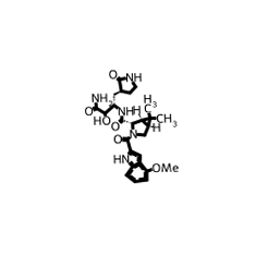 COc1cccc2[nH]c(C(=O)N3C[C@H]4[C@@H]([C@H]3C(=O)N[C@@H](C[C@@H]3CCNC3=O)C(O)C(N)=O)C4(C)C)cc12